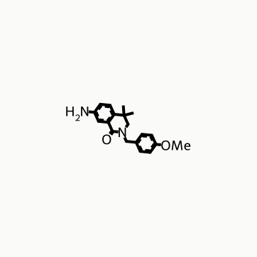 COc1ccc(CN2CC(C)(C)c3ccc(N)cc3C2=O)cc1